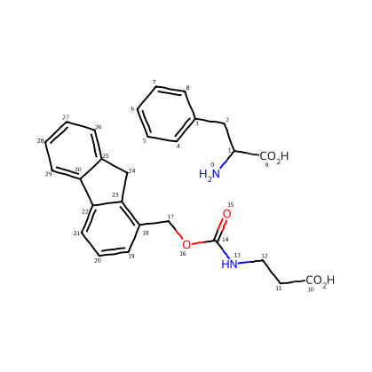 NC(Cc1ccccc1)C(=O)O.O=C(O)CCNC(=O)OCc1cccc2c1Cc1ccccc1-2